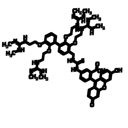 C/N=C(\NC)NCCOc1cccc(-c2ccc(CNC(=S)Nc3ccc(-c4c5ccc(=O)cc-5oc5cc(O)ccc45)c(C(=O)O)c3)c(OCCN/C(=N/C)NC)c2OCCN/C(=N/C)NC)c1OCCN/C(=N/C)NC